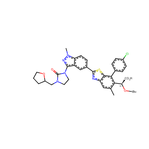 Cc1cc2nc(-c3ccc4c(c3)c(N3CCN(CC5CCCO5)C3=O)nn4C)sc2c(-c2ccc(Cl)cc2)c1[C@H](OC(C)(C)C)C(=O)O